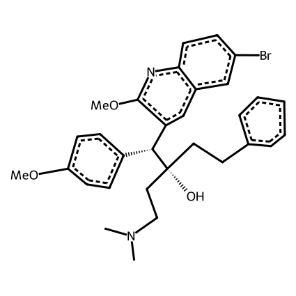 COc1ccc([C@H](c2cc3cc(Br)ccc3nc2OC)[C@@](O)(CCc2ccccc2)CCN(C)C)cc1